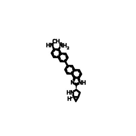 CNc1ccc2cc(-c3ccc4c(ccc5[nH]c([C@@H]6CC7C[C@H]7N6)nc54)c3)ccc2c1N